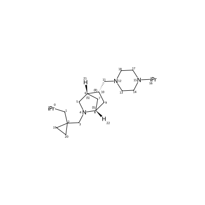 CC(C)CC1(CN2C[C@H]3C[C@@H]2C[C@H]3CN2CCN(C(C)C)CC2)CC1